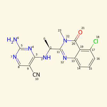 C[C@H](Nc1nc(N)ncc1C#N)c1nc2cccc(Cl)c2c(=O)n1C